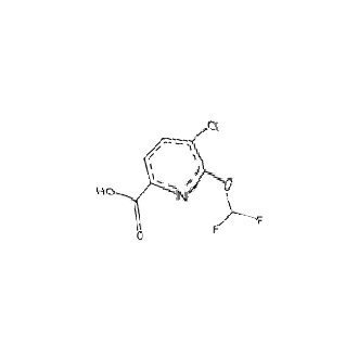 O=C(O)c1ccc(Cl)c(OC(F)F)n1